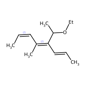 CC=C/C(=C(C)/C=C\C)C(C)OCC